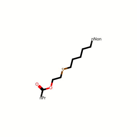 CCCCCCCCCCCCCCSCCOC(=O)CCC